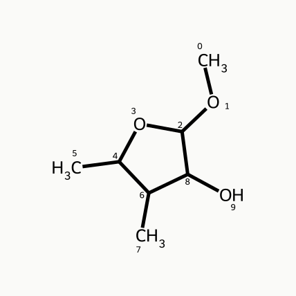 COC1OC(C)C(C)C1O